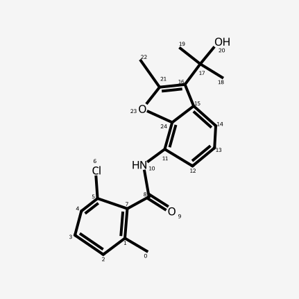 Cc1cccc(Cl)c1C(=O)Nc1cccc2c(C(C)(C)O)c(C)oc12